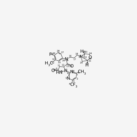 Cc1cc(C(F)(F)F)nc(N2NC(=O)CC2C(=O)N(CCCN2C[C@@H]3C[C@H]2CO3)c2ccc(F)c(C)c2)n1